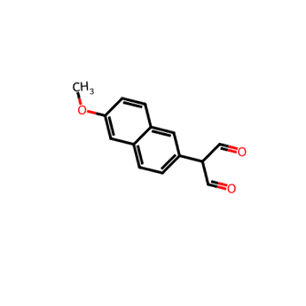 COc1ccc2cc(C(C=O)C=O)ccc2c1